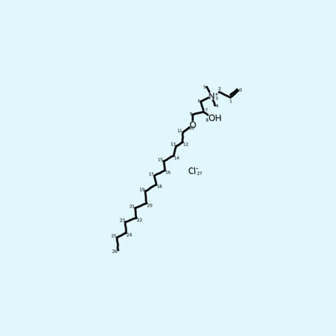 C=CC[N+](C)(C)CC(O)COCCCCCCCCCCCCCCCC.[Cl-]